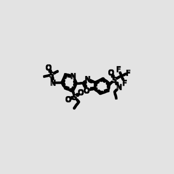 CCN=S(=O)(c1ccc2oc(-c3ncc(N=S(C)(C)=O)cc3S(=O)(=O)CC)nc2c1)C(F)(F)F